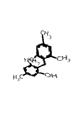 Cc1cc(C)c(Cc2c(C)cc(C)cc2O)c(O)c1